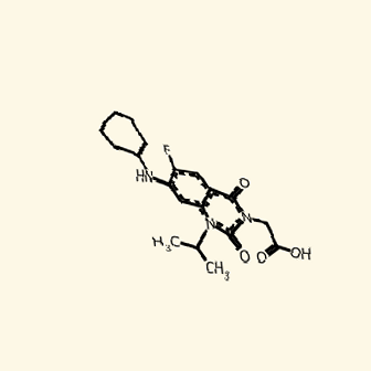 CC(C)n1c(=O)n(CC(=O)O)c(=O)c2cc(F)c(NC3CCCCC3)cc21